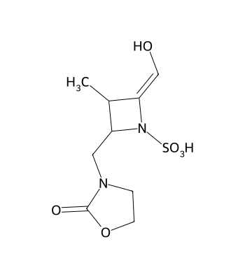 CC1/C(=C\O)N(S(=O)(=O)O)C1CN1CCOC1=O